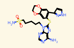 Nc1ncnc2c1nc(Sc1cc3c(cc1-c1cc[nH]n1)OCCO3)n2CCCCCS(N)(=O)=O